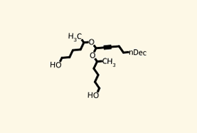 CCCCCCCCCCCCC#CC(OC(C)CCCCO)OC(C)CCCCO